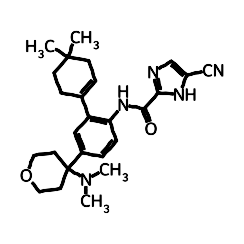 CN(C)C1(c2ccc(NC(=O)c3ncc(C#N)[nH]3)c(C3=CCC(C)(C)CC3)c2)CCOCC1